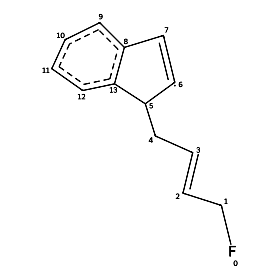 FC/C=C/CC1[C]=Cc2ccccc21